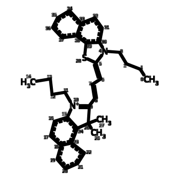 CCCCN1C(=CC=CC2=[N+](CCCC)c3ccc4ccccc4c3C2(C)C)Sc2c1ccc1ccccc21